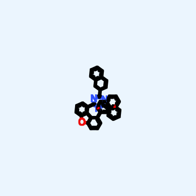 C1=CC2Oc3cccc(-c4nc(-c5ccccc5)nc(C5C=Cc6ccccc6C5)n4)c3C2C(c2ccc3ccccc3c2)=C1